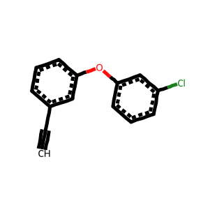 C#Cc1cccc(Oc2cccc(Cl)c2)c1